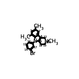 Cc1cc(C)c2c(c1)c1c(n2-c2cccc(Br)c2)CCN(C)C1